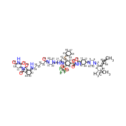 CC1(C)CCC(CN2CCN(c3ccc(C(=O)NS(=O)(=O)c4ccc(N[C@H](CCN5CCN(C(=O)CCCCCNc6cccc7c6C(=O)N(C6CCC(=O)NC6=O)C7=O)CC5)CSc5ccccc5)c(S(=O)(=O)C(F)(F)F)c4)cc3)CC2)=C(C23CC(C)(C2)C3)C1